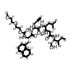 C#CC[C@H](NC(=O)[C@H](Cc1cccc2ccccc12)NC(=O)OCCOCCOC)C(=O)NC(CC(C)C)C(O)CC(=O)N[C@H](CO)C(C)CC